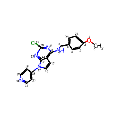 COc1ccc(CNc2nc(Cl)nc3c2ccn3-c2ccncc2)cc1